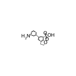 Nc1cccc(-c2cc3c(c(S(=O)(=O)O)c2)OCC3)c1